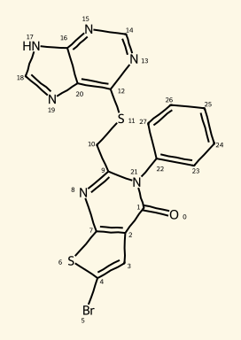 O=c1c2cc(Br)sc2nc(CSc2ncnc3[nH]cnc23)n1-c1ccccc1